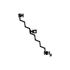 Cl.NCCCCCCCCCCS